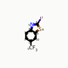 FC(F)(F)c1ccc2nc(I)sc2c1